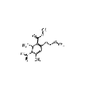 COCOc1cc(C)c([N+](=O)[O-])c(C)c1C(=O)OC